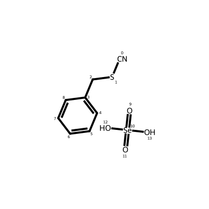 N#CSCc1ccccc1.O=[Se](=O)(O)O